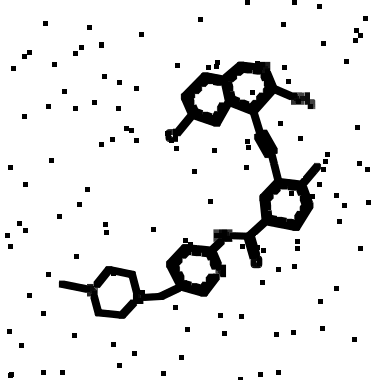 Cc1ccc(C(=O)Nc2ccc(CN3CCN(C)CC3)cn2)cc1C#Cc1c(N)ncc2ccc(Cl)cc12